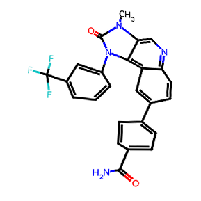 Cn1c(=O)n(-c2cccc(C(F)(F)F)c2)c2c3cc(-c4ccc(C(N)=O)cc4)ccc3ncc21